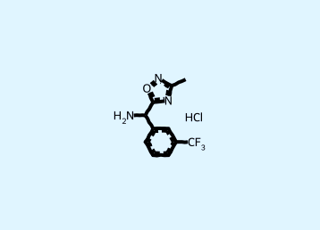 Cc1noc(C(N)c2cccc(C(F)(F)F)c2)n1.Cl